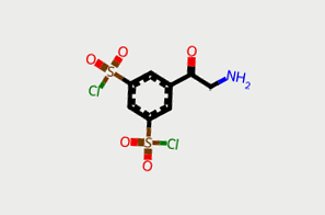 N[CH]C(=O)c1cc(S(=O)(=O)Cl)cc(S(=O)(=O)Cl)c1